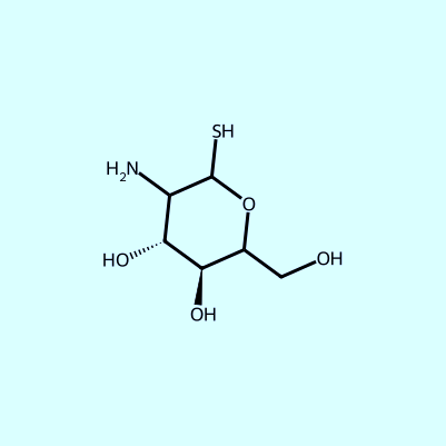 NC1C(S)OC(CO)[C@@H](O)[C@@H]1O